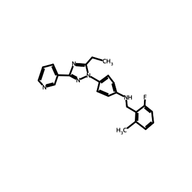 CCc1nc(-c2cccnc2)nn1-c1ccc(NCc2c(C)cccc2F)cc1